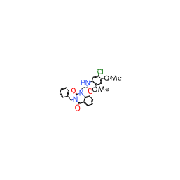 COc1cc(OC)c(NC(=O)Cn2c(=O)n(Cc3ccccc3)c(=O)c3ccccc32)cc1Cl